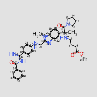 CC(C)OC(=O)CCCN[C@@](C)(C(=O)N1CCCC1)c1ccc2c(c1)nc(CNc1ccc(C(=N)NC(=O)c3ccccc3)cc1)n2C